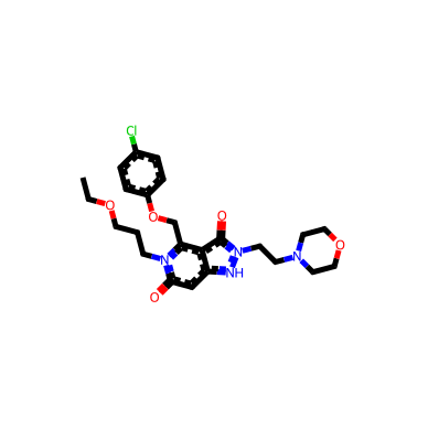 CCOCCCn1c(COc2ccc(Cl)cc2)c2c(=O)n(CCN3CCOCC3)[nH]c2cc1=O